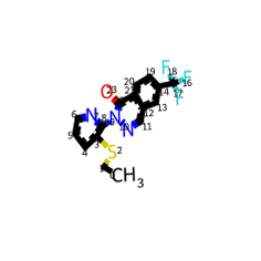 CCSc1cccnc1-n1ncc2cc(C(F)(F)F)ccc2c1=O